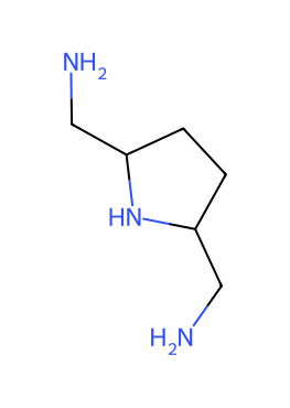 NCC1CCC(CN)N1